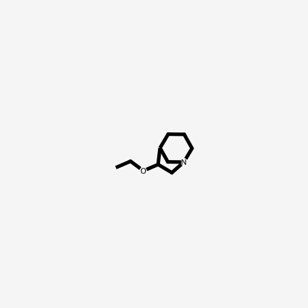 CCOC1CN2CCCC1C2